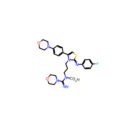 N=C(N1CCOCC1)N(CCCn1c(-c2ccc(N3CCOCC3)cc2)csc1=Nc1ccc(F)cc1)C(=O)O